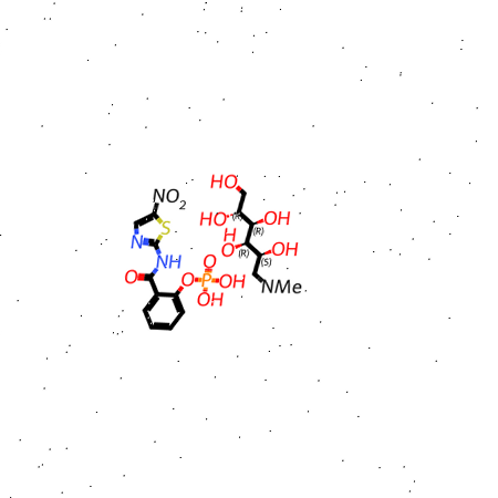 CNC[C@H](O)[C@@H](O)[C@H](O)[C@H](O)CO.O=C(Nc1ncc([N+](=O)[O-])s1)c1ccccc1OP(=O)(O)O